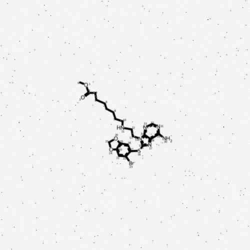 COC(=O)CCCCCCCNCCn1c(Sc2cc3c(cc2Br)OCO3)nc2c(N)ncnc21